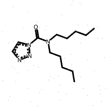 CCCCCN(CCCCC)C(=O)n1ccnn1